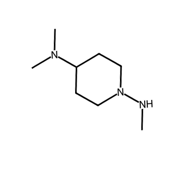 CNN1CCC(N(C)C)CC1